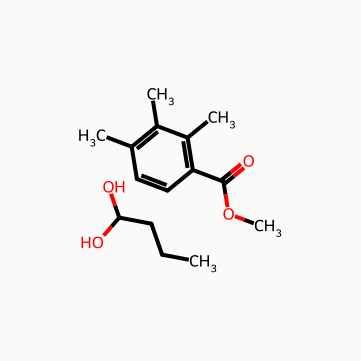 CCCC(O)O.COC(=O)c1ccc(C)c(C)c1C